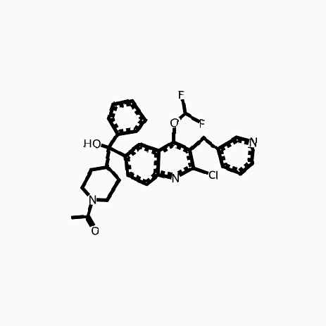 CC(=O)N1CCC(C(O)(c2ccccc2)c2ccc3nc(Cl)c(Cc4cccnc4)c(OC(F)F)c3c2)CC1